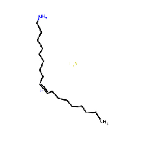 CCCCCCCC/C=C\CCCCCCCCN.S